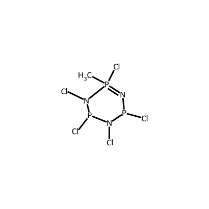 CP1(Cl)=NP(Cl)N(Cl)P(Cl)N1Cl